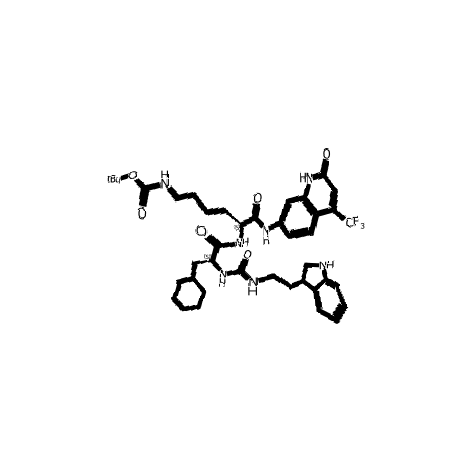 CC(C)(C)OC(=O)NCCCC[C@H](NC(=O)[C@H](CC1CCCCC1)NC(=O)NCCC1CNc2ccccc21)C(=O)Nc1ccc2c(C(F)(F)F)cc(=O)[nH]c2c1